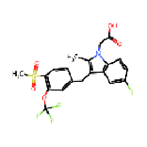 Cc1c(Cc2ccc(S(C)(=O)=O)c(OC(F)(F)F)c2)c2cc(F)ccc2n1CC(=O)O